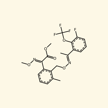 CO/N=C(/C(=O)OC)c1cccc(C)c1CO/N=C(\C)c1cccc(F)c1OC(F)(F)F